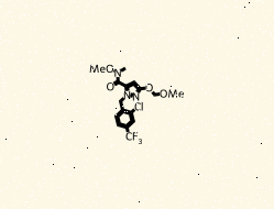 COCOc1cc(C(=O)N(C)OC)n(Cc2ccc(C(F)(F)F)cc2Cl)n1